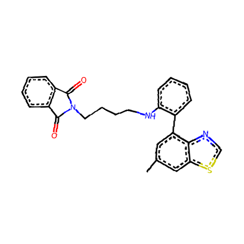 Cc1cc(-c2ccccc2NCCCCN2C(=O)c3ccccc3C2=O)c2ncsc2c1